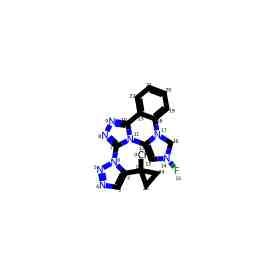 CC1(c2cnnn2-c2nnc3n2C2=CN(F)CN2c2ccccc2-3)CC1